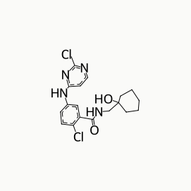 O=C(NCC1(O)CCCCC1)c1cc(Nc2ccnc(Cl)n2)ccc1Cl